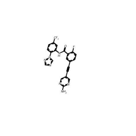 Nc1ncc(C#Cc2ccc(F)c(C(=O)Nc3cc(C(F)(F)F)ccc3-n3cncn3)c2)cn1